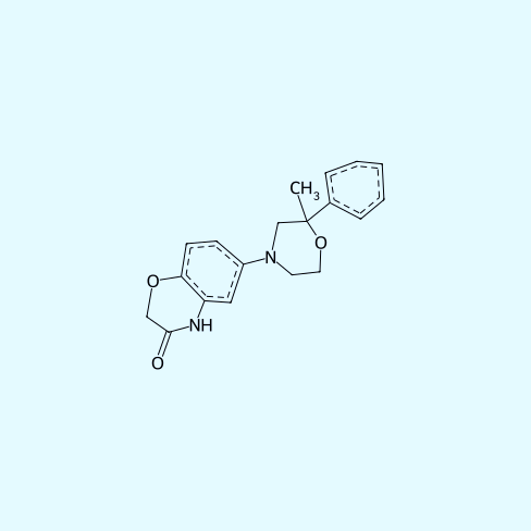 CC1(c2ccccc2)CN(c2ccc3c(c2)NC(=O)CO3)CCO1